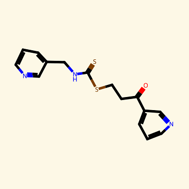 O=C(CCSC(=S)NCc1cccnc1)c1cccnc1